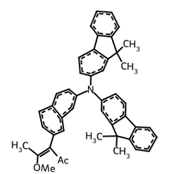 CO/C(C)=C(\C(C)=O)c1ccc2ccc(N(c3ccc4c(c3)C(C)(C)c3ccccc3-4)c3ccc4c(c3)C(C)(C)c3ccccc3-4)cc2c1